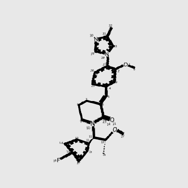 COc1cc(/C=C2\CCCN([C@H](c3ccc(F)cc3)[C@@H](C)OC)C2=O)ccc1-n1cnc(C)c1